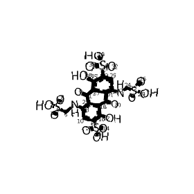 O=C1c2c(NCS(=O)(=O)O)cc(S(=O)(=O)O)c(O)c2C(=O)c2c(NCS(=O)(=O)O)cc(S(=O)(=O)O)c(O)c21